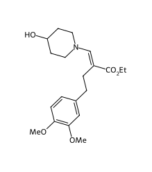 CCOC(=O)/C(=C/N1CCC(O)CC1)CCc1ccc(OC)c(OC)c1